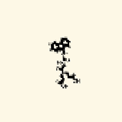 O=C(O)CCN(CCC(=O)O)C(=O)CNC(=O)OCC1c2ccccc2-c2ccccc21